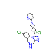 Cl.Clc1ccc2c(c1)CNCc1nnc(C3CC4(C3)CN(c3ccccn3)C4)n1-2